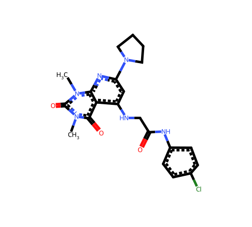 Cn1c(=O)c2c(NCC(=O)Nc3ccc(Cl)cc3)cc(N3CCCC3)nc2n(C)c1=O